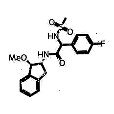 CO[C@@H]1c2ccccc2C[C@H]1NC(=O)C(NS(C)(=O)=O)c1ccc(F)cc1